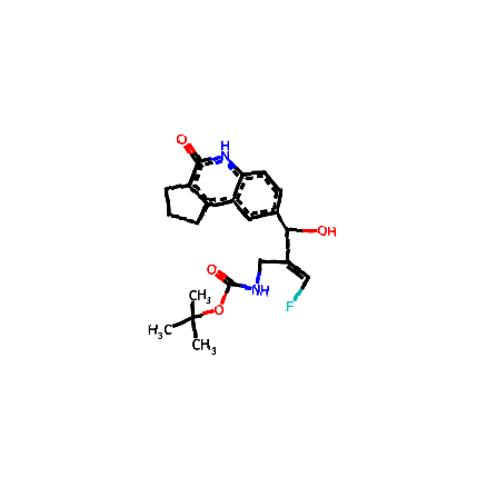 CC(C)(C)OC(=O)NC/C(=C\F)C(O)c1ccc2[nH]c(=O)c3c(c2c1)CCC3